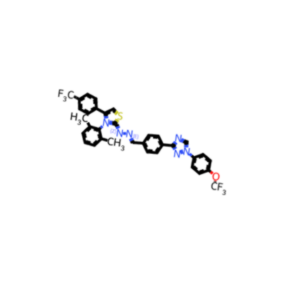 Cc1cccc(C)c1-n1c(-c2ccc(C(F)(F)F)cc2)cs/c1=N\N=C\c1ccc(-c2ncn(-c3ccc(OC(F)(F)F)cc3)n2)cc1